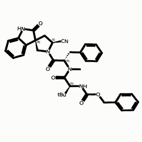 CN(C(=O)[C@@H](NC(=O)OCc1ccccc1)C(C)(C)C)[C@@H](Cc1ccccc1)C(=O)N1C[C@]2(C[C@H]1C#N)C(=O)Nc1ccccc12